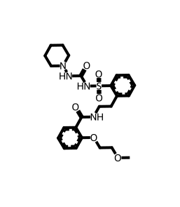 COCCOc1ccccc1C(=O)NCCc1ccccc1S(=O)(=O)NC(=O)NN1CCCCC1